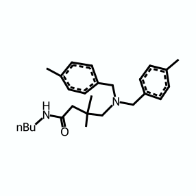 CCCCNC(=O)CC(C)(C)CN(Cc1ccc(C)cc1)Cc1ccc(C)cc1